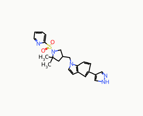 CC1(C)CC(Cn2ccc3cc(-c4cn[nH]c4)ccc32)CN1S(=O)(=O)c1ccccn1